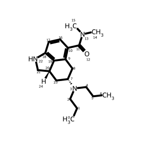 CCCN(CCC)[C@H]1Cc2c(C(=O)N(C)C)ccc3c2[C@@H](CN3)C1